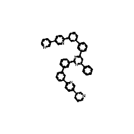 c1ccc(-c2cc(-c3cccc(-c4cccc(-c5ccc(-c6cccnc6)cn5)c4)c3)nc(-c3cccc(-c4cccc(-c5ccc(-c6cccnc6)cn5)c4)c3)n2)cc1